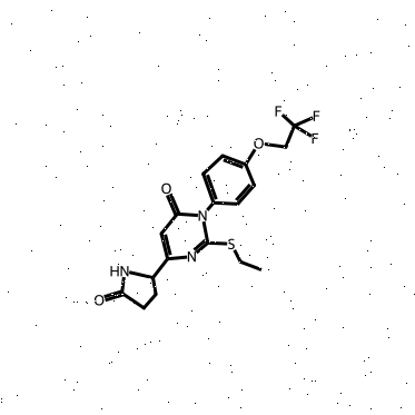 CCSc1nc(C2CCC(=O)N2)cc(=O)n1-c1ccc(OCC(F)(F)F)cc1